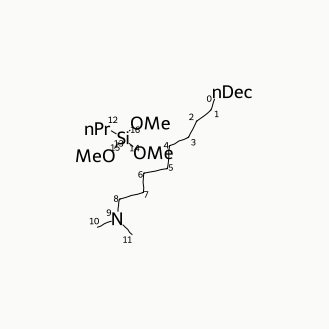 CCCCCCCCCCCCCCCCCCN(C)C.CCC[Si](OC)(OC)OC